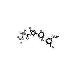 COc1cc(C#N)cc(Nc2nccc(-c3cc(C(=O)NC(C)CN(C)C)n(C)n3)n2)c1